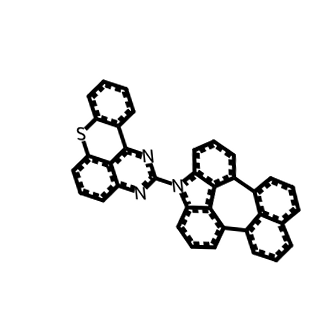 c1ccc2c(c1)Sc1cccc3nc(-n4c5cccc6c5c5c(cccc54)-c4cccc5cccc-6c45)nc-2c13